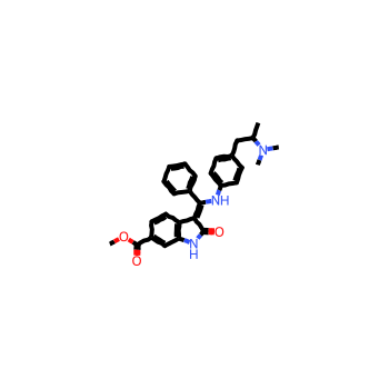 COC(=O)c1ccc2c(c1)NC(=O)/C2=C(\Nc1ccc(CC(C)N(C)C)cc1)c1ccccc1